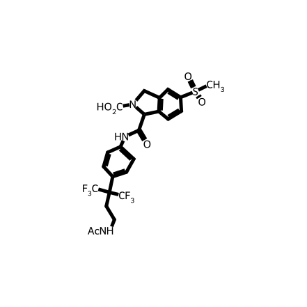 CC(=O)NCCC(c1ccc(NC(=O)C2c3ccc(S(C)(=O)=O)cc3CN2C(=O)O)cc1)(C(F)(F)F)C(F)(F)F